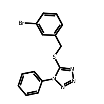 Brc1cccc(CSc2nnnn2-c2ccccc2)c1